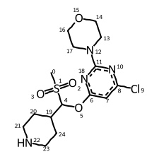 CS(=O)(=O)C(Oc1cc(Cl)nc(N2CCOCC2)n1)C1CCNCC1